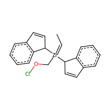 C[CH]=[Zr]([CH2]OCl)([CH]1C=Cc2ccccc21)[CH]1C=Cc2ccccc21